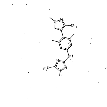 Cc1cc(Nc2n[nH]c(N)n2)cc(C)c1-c1cn(C)nc1C(F)(F)F